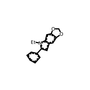 CCn1c(-c2ccccc2)cc2cc3c(cc21)OCO3